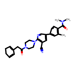 Cc1cc(-c2cnc(N3CCN(C(=O)CC4=CCCC=C4)CC3)c(C#N)c2)ccc1C(=O)N(C)C